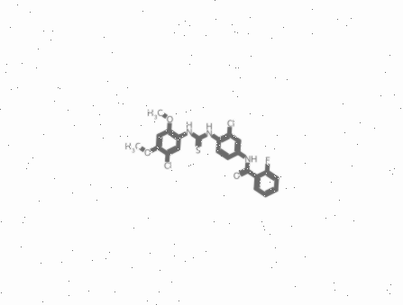 COc1cc(OC)c(NC(=S)Nc2ccc(NC(=O)c3ccccc3F)cc2Cl)cc1Cl